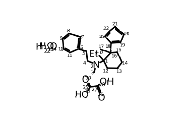 CCC1(N(C)CCc2ccccc2)CCCCC1(C)c1ccccc1.O.O.O=C(O)C(=O)O